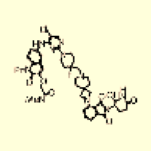 CNC(=O)COc1cc2cc(Nc3nc(N4CCC(F)(CN5CCC6(CC5)CN(c5cccc7c5C(=O)N(C5CCC(=O)NC5O)C7=O)C6)CC4)ncc3Cl)ccc2n(C(C)C)c1=O